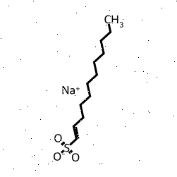 CCCCCCCCCCC=CS(=O)(=O)[O-].[Na+]